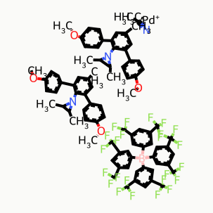 CC#N.COc1ccc(-c2cc(C)cc(-c3ccc(OC)cc3)c2N2C(C)C2C)cc1.COc1ccc(-c2cc(C)cc(-c3ccc(OC)cc3)c2N2C(C)C2C)cc1.FC(F)(F)c1cc([B-](c2cc(C(F)(F)F)cc(C(F)(F)F)c2)(c2cc(C(F)(F)F)cc(C(F)(F)F)c2)c2cc(C(F)(F)F)cc(C(F)(F)F)c2)cc(C(F)(F)F)c1.[CH3][Pd+]